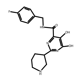 O=C(NCc1ccc(F)cc1)c1nc(C2CCCNC2)nc(O)c1O